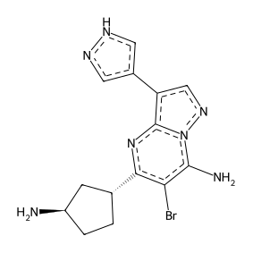 Nc1c(Br)c([C@@H]2CC[C@@H](N)C2)nc2c(-c3cn[nH]c3)cnn12